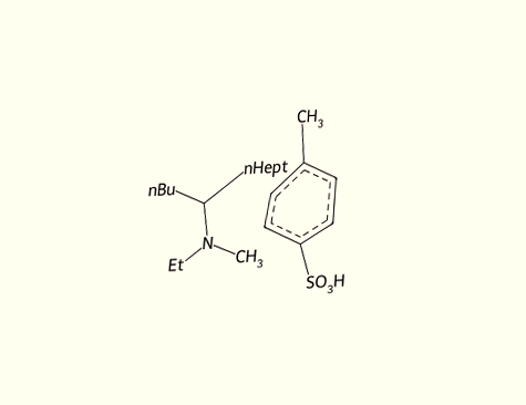 CCCCCCCC(CCCC)N(C)CC.Cc1ccc(S(=O)(=O)O)cc1